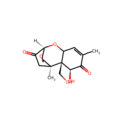 CC1=CC2O[C@@H]3C(=O)C[C@@](C)([C@]34CO4)[C@@]2(CO)[C@H](O)C1=O